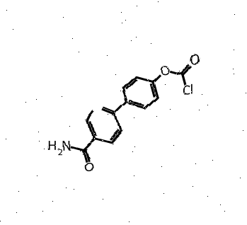 C=C(/C=C\C(=C/C)C(N)=O)c1ccc(OC(=O)Cl)cc1